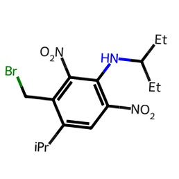 CCC(CC)Nc1c([N+](=O)[O-])cc(C(C)C)c(CBr)c1[N+](=O)[O-]